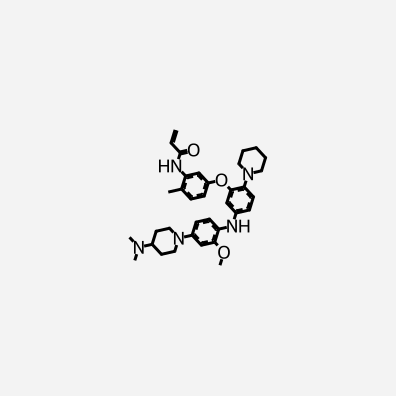 C=CC(=O)Nc1cc(Oc2cc(Nc3ccc(N4CCC(N(C)C)CC4)cc3OC)ccc2N2CCCCC2)ccc1C